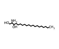 CCCCCCCCCCCCCCCCCC(O)C(N)CO